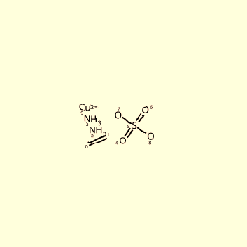 C=C.N.N.O=S(=O)([O-])[O-].[Cu+2]